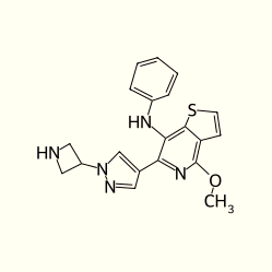 COc1nc(-c2cnn(C3CNC3)c2)c(Nc2ccccc2)c2sccc12